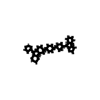 c1ccc(-n2c3ccccc3c3cc(-c4ccc(-c5ccc(-n6c7ccccc7c7ccsc76)cc5)cc4)ccc32)cc1